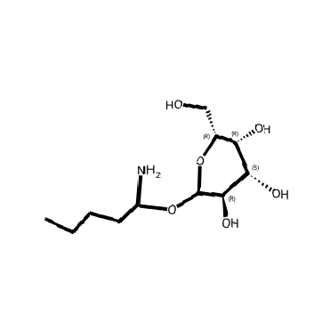 CCCCC(N)OC1O[C@H](CO)[C@H](O)[C@H](O)[C@H]1O